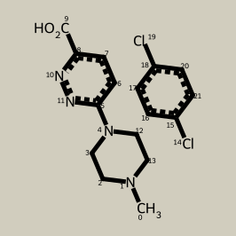 CN1CCN(c2ccc(C(=O)O)nn2)CC1.Clc1ccc(Cl)cc1